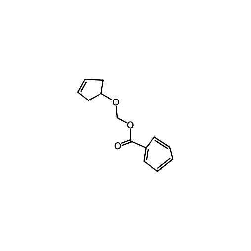 O=C(OCOC1CC=CC1)c1ccccc1